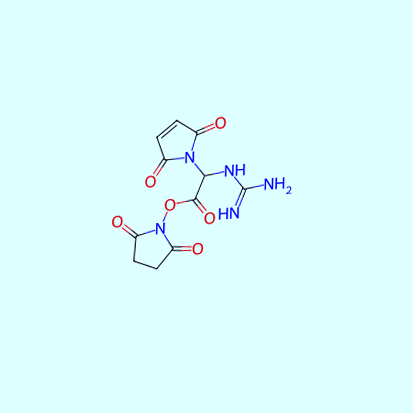 N=C(N)NC(C(=O)ON1C(=O)CCC1=O)N1C(=O)C=CC1=O